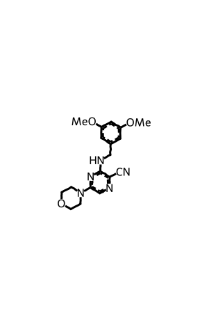 COc1cc(CNc2nc(N3CCOCC3)cnc2C#N)cc(OC)c1